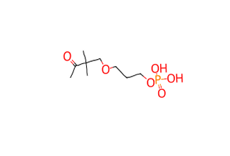 CC(=O)C(C)(C)COCCCOP(=O)(O)O